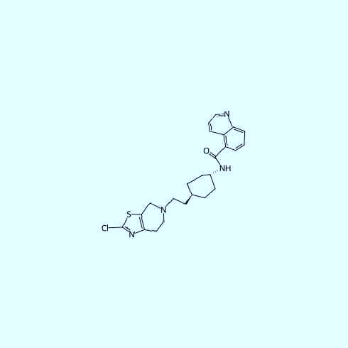 O=C(N[C@H]1CC[C@H](CCN2CCc3nc(Cl)sc3C2)CC1)c1cccc2ncccc12